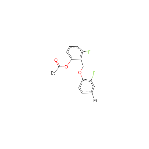 CCC(=O)Oc1cccc(F)c1COc1ccc(CC)cc1F